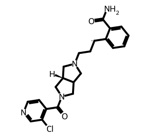 NC(=O)c1ccccc1[CH]CCN1CC2CN(C(=O)c3ccncc3Cl)C[C@@H]2C1